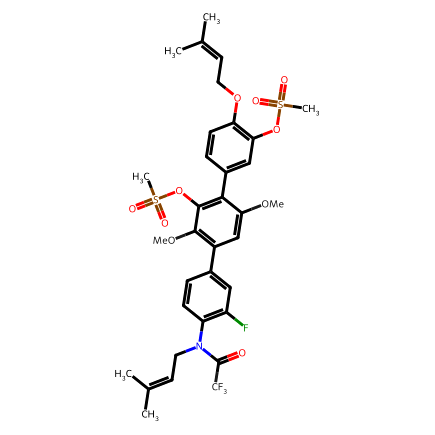 COc1cc(-c2ccc(N(CC=C(C)C)C(=O)C(F)(F)F)c(F)c2)c(OC)c(OS(C)(=O)=O)c1-c1ccc(OCC=C(C)C)c(OS(C)(=O)=O)c1